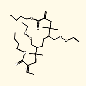 C=C(CC(C)(C)C(CCC(COOCC)C(C)(C)C/C(=C\C)C(=O)OCCCC)COOCC)C(=O)OCCCC